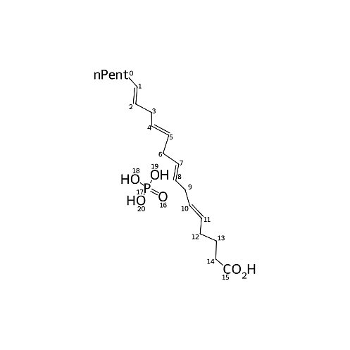 CCCCCC=CCC=CCC=CCC=CCCCC(=O)O.O=P(O)(O)O